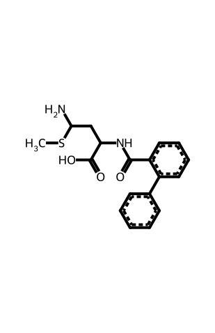 CSC(N)CC(NC(=O)c1ccccc1-c1ccccc1)C(=O)O